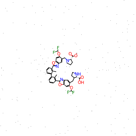 COC(=O)[C@@H]1CCCN1Cc1cc2nc(-c3cccc(-c4cccc(-c5nc6cc(CC7CCN[C@@H]7C(=O)O)c(OC(F)F)cc6o5)c4C)c3C)oc2cc1OC(F)F